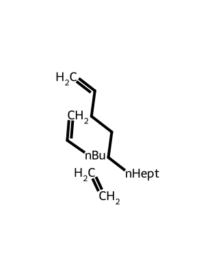 C=C.C=CCCCC.C=CCCCCCCCCCC